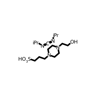 CC(C)N=C=NC(C)C.O=S(=O)(O)CCCN1CCN(CCO)CC1